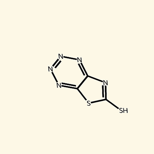 Sc1nc2nnnnc2s1